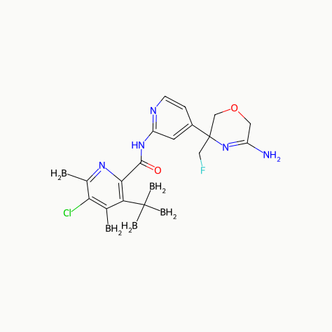 Bc1nc(C(=O)Nc2cc(C3(CF)COCC(N)=N3)ccn2)c(C(B)(B)B)c(B)c1Cl